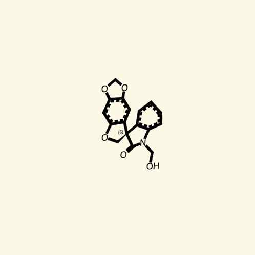 O=C1N(CO)c2ccccc2[C@]12COc1cc3c(cc12)OCO3